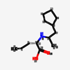 CCC[C@H](NC(C)CC1CCCC1)C(=O)O